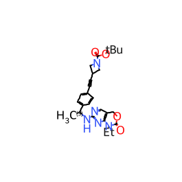 CCN1C(=O)OCc2cnc(N[C@@H](C)c3ccc(C#CC4CN(C(=O)OC(C)(C)C)C4)cc3)nc21